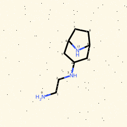 NCCNC1CC2CCC(C1)N2